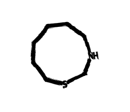 [CH]1NCCCCCCS1